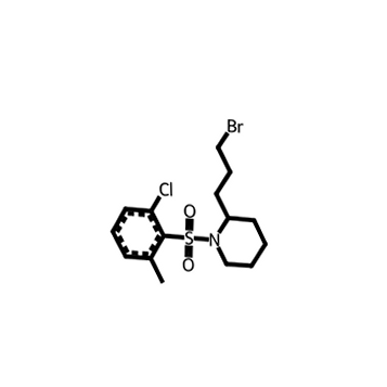 Cc1cccc(Cl)c1S(=O)(=O)N1CCCCC1CCCBr